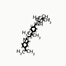 CC(C)c1ccc2nn(CCC(C)(C)c3ccc(CNC(=O)OC(C)(C)C)cc3)cc2c1